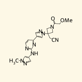 COCC(=O)N1CC(CC#N)(n2cc(-c3ccnc(Nc4cnn(C)c4)n3)cn2)C1